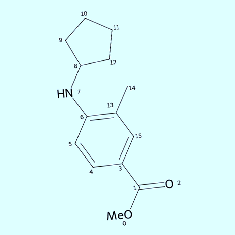 COC(=O)c1ccc(NC2CCCC2)c(C)c1